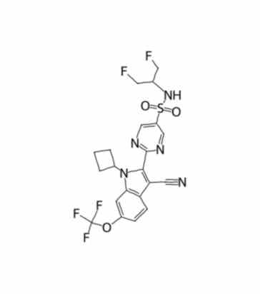 N#Cc1c(-c2ncc(S(=O)(=O)NC(CF)CF)cn2)n(C2CCC2)c2cc(OC(F)(F)F)ccc12